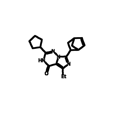 CCc1nc(C2CC3C=CC2C3)n2nc(C3CCCC3)[nH]c(=O)c12